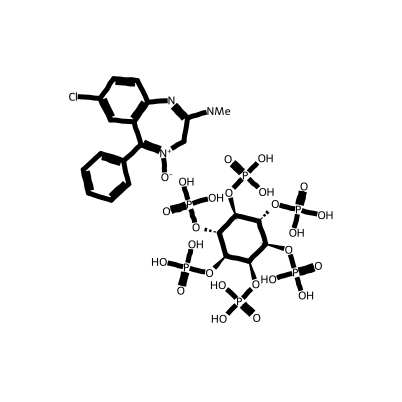 CNC1=Nc2ccc(Cl)cc2C(c2ccccc2)=[N+]([O-])C1.O=P(O)(O)O[C@H]1[C@H](OP(=O)(O)O)[C@@H](OP(=O)(O)O)[C@H](OP(=O)(O)O)[C@@H](OP(=O)(O)O)[C@H]1OP(=O)(O)O